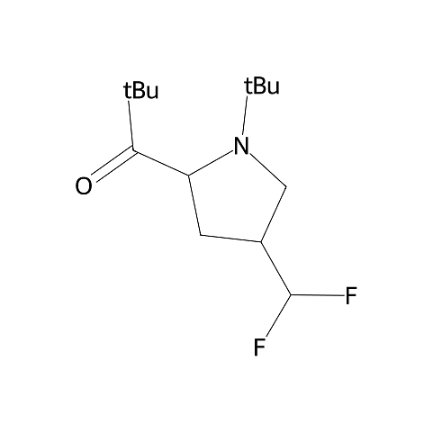 CC(C)(C)C(=O)C1CC(C(F)F)CN1C(C)(C)C